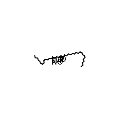 C=P(O)(OCCN(C)C)OC(CCCCCCCC/C=C\C/C=C\CCCCC)CCCCCCCC/C=C\C/C=C\CCCCC